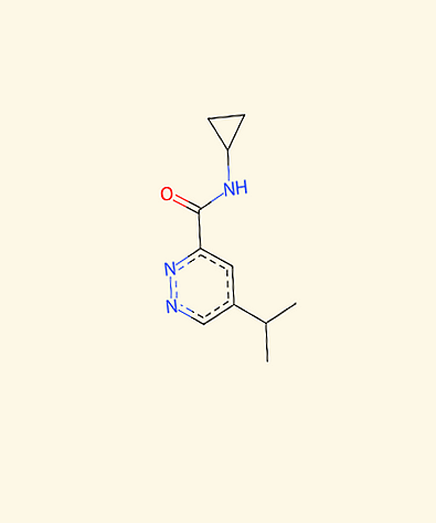 CC(C)c1cnnc(C(=O)NC2CC2)c1